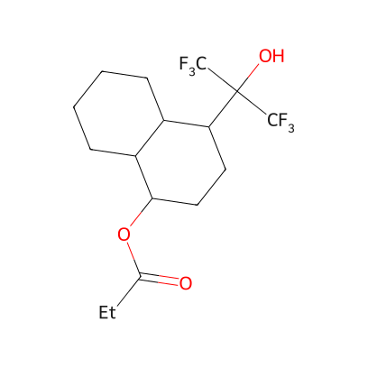 CCC(=O)OC1CCC(C(O)(C(F)(F)F)C(F)(F)F)C2CCCCC12